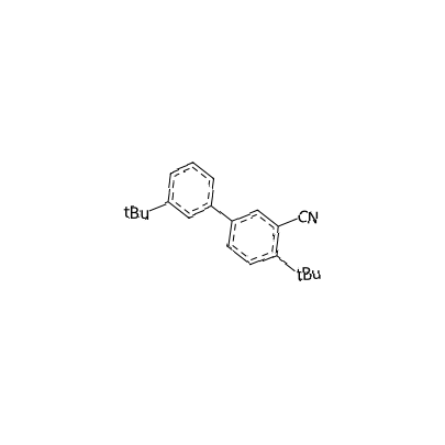 CC(C)(C)c1cccc(-c2ccc(C(C)(C)C)c(C#N)c2)c1